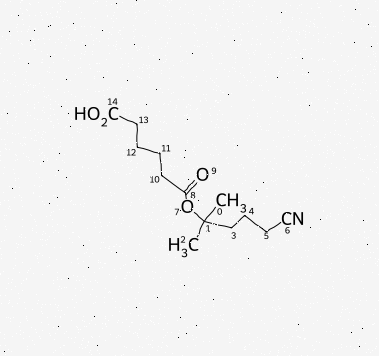 CC(C)(CCCC#N)OC(=O)CCCCC(=O)O